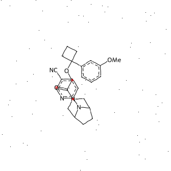 COc1cccc(C2(OCC(=O)N3CC4CCC(C3)N4c3ccc(C#N)cn3)CCC2)c1